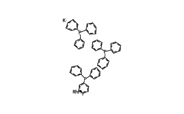 [K].[RhH3].c1ccc(P(c2ccccc2)c2ccccc2)cc1.c1ccc(P(c2ccccc2)c2ccccc2)cc1.c1ccc(P(c2ccccc2)c2ccccc2)cc1